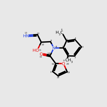 Cc1cccc(C)c1N(CC(O)C=N)C(=O)c1ccco1